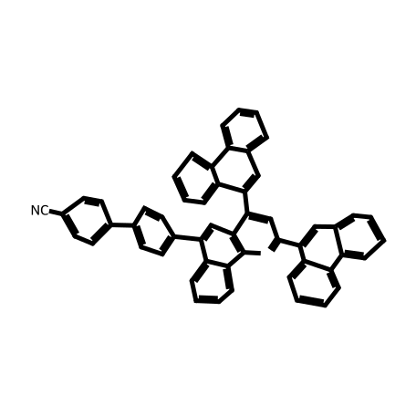 C=C(/C=C(\c1cc(-c2ccc(-c3ccc(C#N)cc3)cc2)c2ccccc2c1C)c1cc2ccccc2c2ccccc12)c1cc2ccccc2c2ccccc12